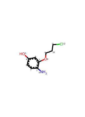 Nc1ccc(O)cc1OCCCCl